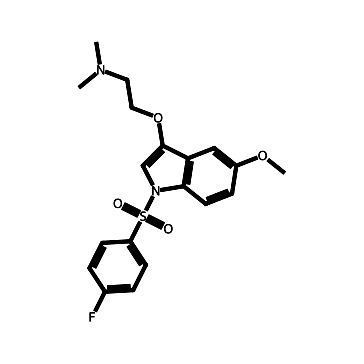 COc1ccc2c(c1)c(OCCN(C)C)cn2S(=O)(=O)c1ccc(F)cc1